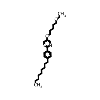 CCCCCCCCCc1ccc(-c2ncc(OCCCCCOCC)cn2)cc1